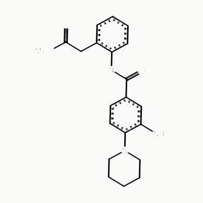 COC(=O)Cc1ccccc1NC(=O)c1ccc(N2CCCCC2)c(N)c1